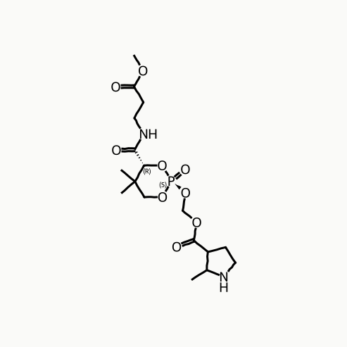 COC(=O)CCNC(=O)[C@@H]1O[P@@](=O)(OCOC(=O)C2CCNC2C)OCC1(C)C